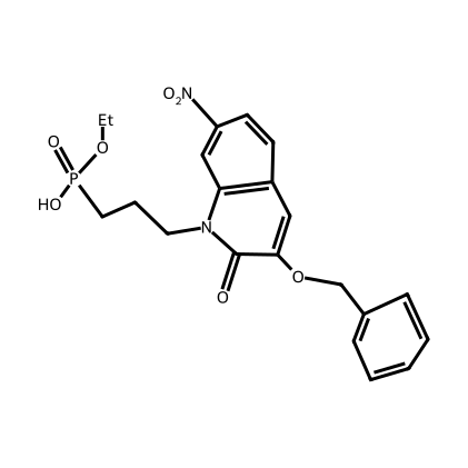 CCOP(=O)(O)CCCn1c(=O)c(OCc2ccccc2)cc2ccc([N+](=O)[O-])cc21